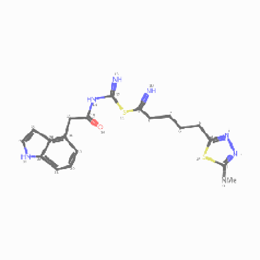 CNc1nnc(CCCCC(=N)SC(=N)NC(=O)Cc2cccc3[nH]ccc23)s1